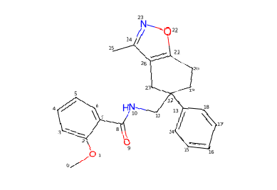 COc1ccccc1C(=O)NCC1(c2ccccc2)CCc2onc(C)c2C1